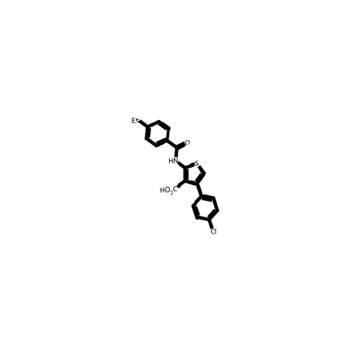 CCc1ccc(C(=O)Nc2scc(-c3ccc(Cl)cc3)c2C(=O)O)cc1